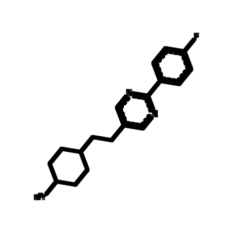 CCCC1CCC(CCc2cnc(-c3ccc(F)cc3)nc2)CC1